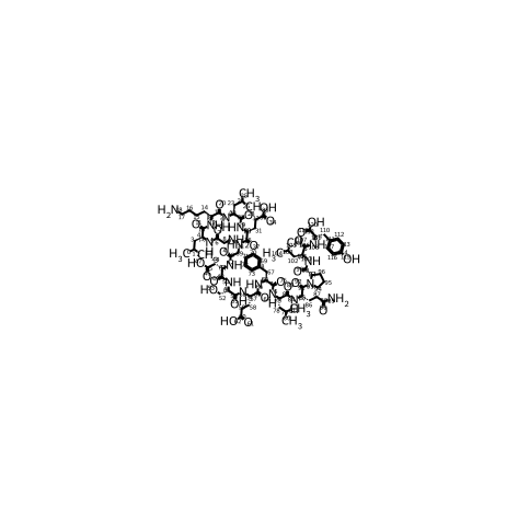 CC(C)C[C@H](NC(=O)CN)C(=O)N[C@@H](CCCCN)C(=O)N[C@@H](CC(C)C)C(=O)N[C@@H](CCC(=O)O)C(=O)NCC(=O)N[C@@H](CC(=O)O)C(=O)N[C@@H](CO)C(=O)N[C@@H](CCC(=O)O)C(=O)N[C@@H](Cc1ccccc1)C(=O)N[C@@H](CC(C)C)C(=O)N[C@@H](CCC(N)=O)C(=O)N1CCC[C@H]1C(=O)N[C@@H](CC(C)C)C(=O)N[C@@H](Cc1ccc(O)cc1)C(=O)O